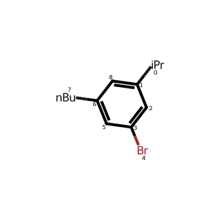 [CH2]C(C)c1cc(Br)cc(CCCC)c1